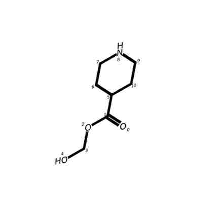 O=C(OCO)C1CCNCC1